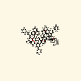 CC(C)(C)c1cc2c3c(c1)N(c1c(-c4ccccc4)cc(-c4ccccc4)cc1-c1ccccc1)c1cc4c(cc1B3c1ccccc1N2c1c(-c2ccccc2)cc(-c2ccccc2)cc1-c1ccccc1)B1c2ccccc2N(c2c(-c3ccccc3)cc(-c3ccccc3)cc2-c2ccccc2)c2cc(N3CC5CCC6CC5C3C6)cc(c21)S4